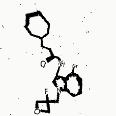 O=C(CCC1CCCCCC1)Nc1cn(CC2(F)COC2)c2cccc(Br)c12